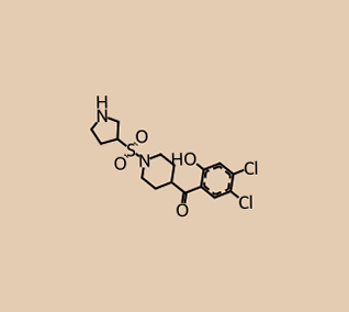 O=C(c1cc(Cl)c(Cl)cc1O)C1CCN(S(=O)(=O)C2CCNC2)CC1